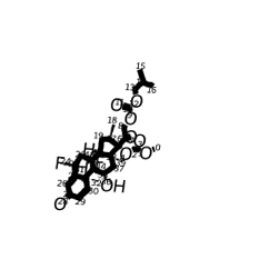 COC(=O)O[C@]1(C(=O)COC(=O)OCC(C)C)[C@H](C)C[C@H]2[C@@H]3C[C@H](F)C4=CC(=O)C=C[C@]4(C)[C@@]3(F)[C@@H](O)C[C@@]21C